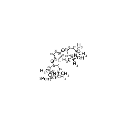 CCCCCON1C(C)(C)CCC(Oc2ccc(OC3CCC(C)(C)N(O)C(C)(C)C3)cc2)CC1(C)C